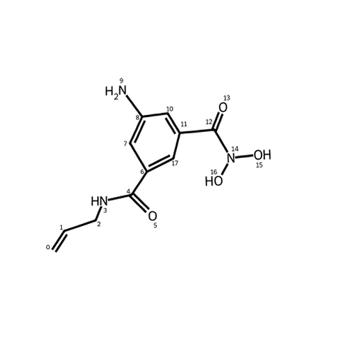 C=CCNC(=O)c1cc(N)cc(C(=O)N(O)O)c1